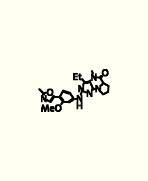 CCc1nc(Nc2ccc(-c3cnc(C)o3)c(OC)c2)nc2c1N(C)C(=O)C1CCCN21